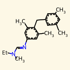 CCN(C)C=Nc1cc(C)c(Cc2cc(C)cc(C)c2)c(C)c1